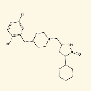 O=C1NC(CN2CCC(Cc3cc(Cl)ccc3Br)CC2)CN1C1CCCCC1